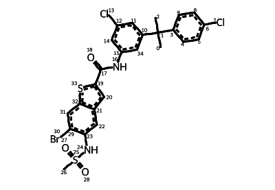 CC(C)(c1ccc(Cl)cc1)c1cc(Cl)cc(NC(=O)c2cc3cc(NS(C)(=O)=O)c(Br)cc3s2)c1